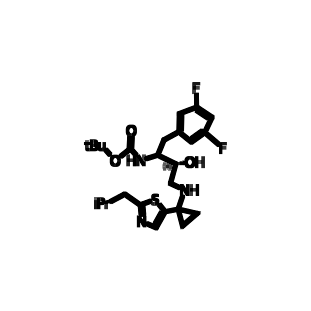 CC(C)Cc1ncc(C2(NC[C@@H](O)C(Cc3cc(F)cc(F)c3)NC(=O)OC(C)(C)C)CC2)s1